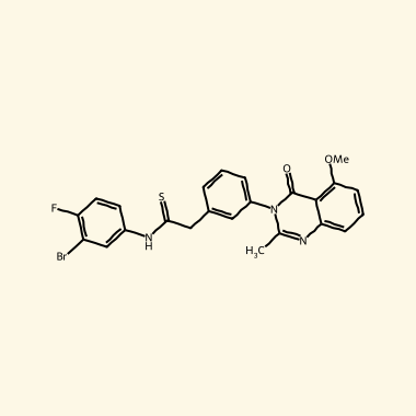 COc1cccc2nc(C)n(-c3cccc(CC(=S)Nc4ccc(F)c(Br)c4)c3)c(=O)c12